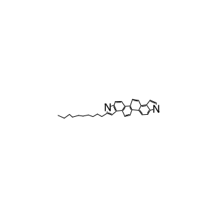 CCCCCCCCCCc1cc2c3ccc4c(ccc5c4ccc4c5ccn4C)c3ccc2n1C